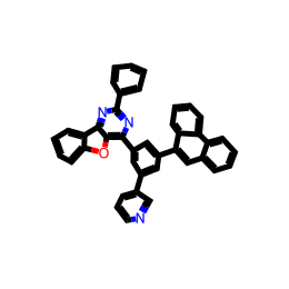 c1ccc(-c2nc(-c3cc(-c4cccnc4)cc(-c4cc5ccccc5c5ccccc45)c3)c3oc4ccccc4c3n2)cc1